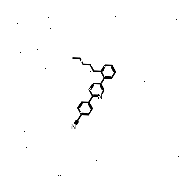 CCCCCc1ccccc1-c1ccc(-c2ccc(C#N)cc2)nc1